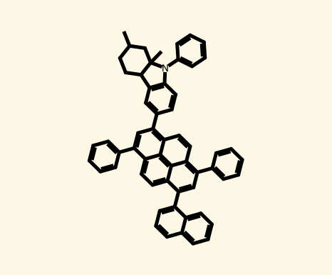 CC1CCC2c3cc(-c4cc(-c5ccccc5)c5ccc6c(-c7cccc8ccccc78)cc(-c7ccccc7)c7ccc4c5c76)ccc3N(c3ccccc3)C2(C)C1